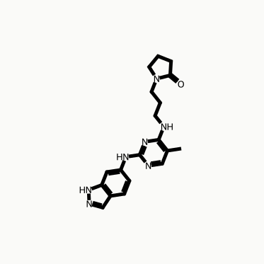 Cc1cnc(Nc2ccc3cn[nH]c3c2)nc1NCCCN1CCCC1=O